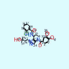 COc1ccc(C(=O)N2CCC(NC(=O)c3ccccc3Cl)c3c2cnn3CCC(C)(C)O)cc1OC